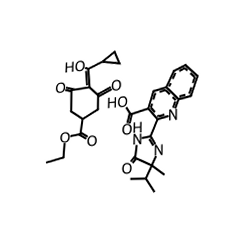 CC(C)C1(C)N=C(c2nc3ccccc3cc2C(=O)O)NC1=O.CCOC(=O)C1CC(=O)C(=C(O)C2CC2)C(=O)C1